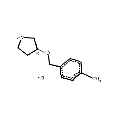 Cc1ccc(CO[C@@H]2CCNC2)cc1.Cl